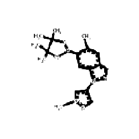 Cc1cc2cnn(-c3cnn(C)c3)c2cc1B1OC(C)(C)C(C)(C)O1